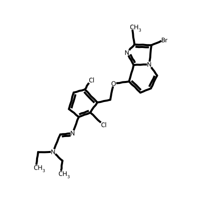 CCN(/C=N/c1ccc(Cl)c(COc2cccn3c(Br)c(C)nc23)c1Cl)CC